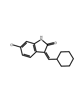 O=C1Nc2cc(Cl)ccc2C1=CC1CCCCC1